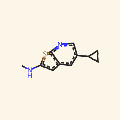 CNc1cc2cc(C3CC3)cnc2s1